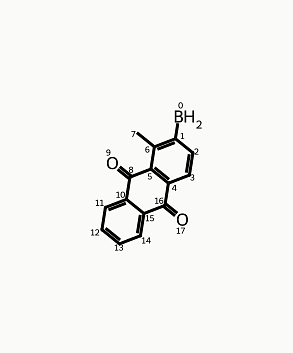 Bc1ccc2c(c1C)C(=O)c1ccccc1C2=O